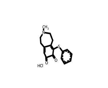 CN1CCC2=CC(=O)C(=O)C(Sc3ccccc3)=C2CC1.Cl